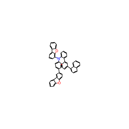 c1cc(-c2ccccc2N(c2ccc(-c3ccc4oc5ccccc5c4c3)cc2)c2cccc3c2oc2ccccc23)cc(-c2cccc3ccccc23)c1